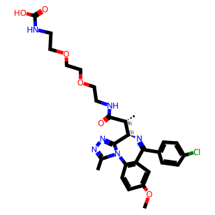 COc1ccc2c(c1)C(c1ccc(Cl)cc1)=N[C@@H]([C@@H](C)C(=O)NCCOCCOCCNC(=O)O)c1nnc(C)n1-2